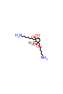 CC1C(CCCCCCCN)(C(=O)O)C=CCC1(CCCCCCCN)C(=O)O